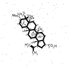 C=C(C)[C@@H]1C[C@@H](C(=O)O)C2CC[C@]3(C)[C@H](CC[C@@H]4[C@@]5(C)CC[C@H](OC)C(C)(C)[C@@H]5CC[C@]43C)[C@H]21